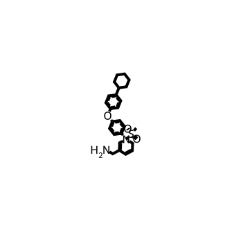 CS(=O)(=O)[N+]1(c2ccc(Oc3ccc(C4CCCCC4)cc3)cc2)C=C(CN)C=CC1